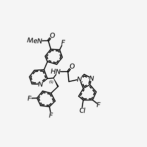 CNC(=O)c1cc(-c2cccnc2[C@H](Cc2cc(F)cc(F)c2)NC(=O)Cn2cnc3cc(F)c(Cl)cc32)ccc1F